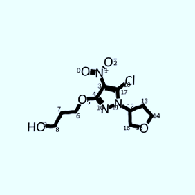 O=[N+]([O-])c1c(OCCCO)nn(C2CCOC2)c1Cl